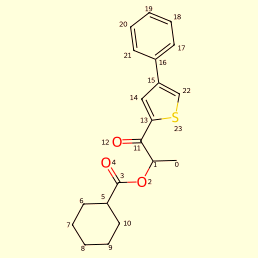 CC(OC(=O)C1CCCCC1)C(=O)c1cc(-c2ccccc2)cs1